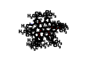 C/C=C/c1cc(C(C)(C)C)ccc1N(C)c1c2c(c(-n3c4ccc(C(C)(C)C)cc4c4cc(C(C)(C)C)ccc43)c(N(c3ccc(C(C)(C)C)cc3CC)C(C)C(C)C)c1-n1c3ccc(C(C)(C)C)cc3c3cc(C(C)(C)C)ccc31)-n1c3ccc(C(C)(C)C)cc3c3cc(C(C)(C)C)cc(c31)B2C